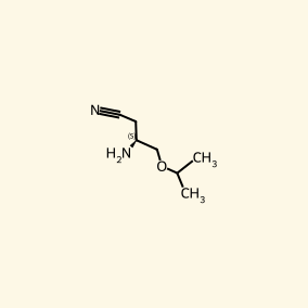 CC(C)OC[C@@H](N)CC#N